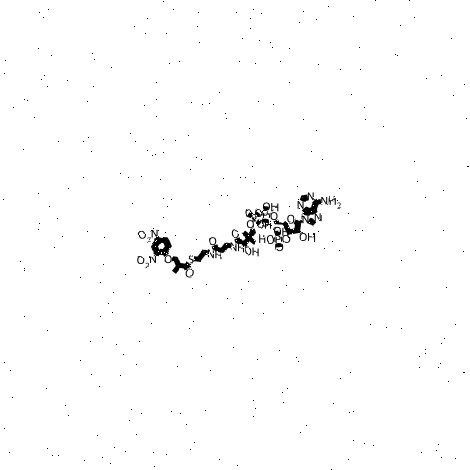 CC(COc1ccc([N+](=O)[O-])cc1[N+](=O)[O-])C(=O)SCCNC(=O)CCNC(=O)[C@H](O)C(C)(C)COP(=O)(O)OP(=O)(O)OC[C@H]1O[C@@H](n2cnc3c(N)ncnc32)[C@H](O)[C@@H]1OP(=O)(O)O